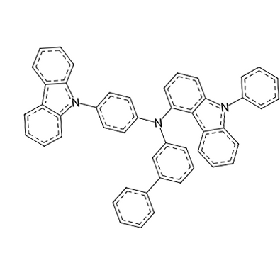 c1ccc(-c2cccc(N(c3ccc(-n4c5ccccc5c5ccccc54)cc3)c3cccc4c3c3ccccc3n4-c3ccccc3)c2)cc1